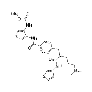 CN(C)CCCN(Cc1ccc(C(=O)Nc2cscc2NC(=O)OC(C)(C)C)nc1)C(=O)Nc1ccsc1